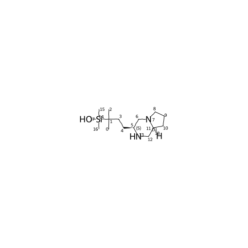 CC(C)(CC[C@H]1CN2CCC[C@H]2CN1)[Si](C)(C)O